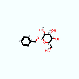 OC[C@H]1O[C@H](OCc2ccccc2)[C@@H](O)[C@H](O)[C@H]1O